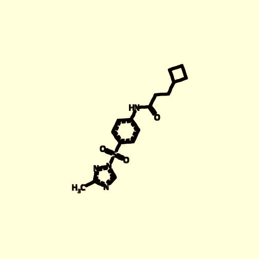 Cc1ncn(S(=O)(=O)c2ccc(NC(=O)CCC3CCC3)cc2)n1